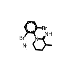 CC1CCCN(c2c(Br)cccc2Br)C1=N.[N]